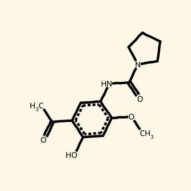 COc1cc(O)c(C(C)=O)cc1NC(=O)N1CCCC1